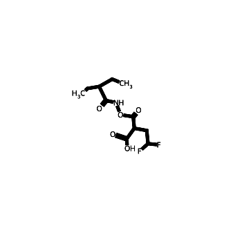 CCC(CC)C(=O)NOC(=O)C(CC(F)F)C(=O)O